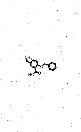 C=Cc1ccc(OCc2ccccc2)c(C(=O)O)c1